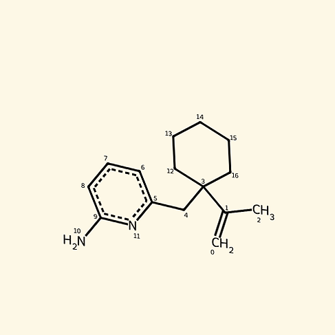 C=C(C)C1(Cc2cccc(N)n2)CCCCC1